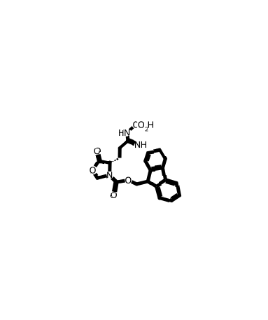 N=C(CC[C@H]1C(=O)OCN1C(=O)OCC1C2=C(CCC=C2)c2ccccc21)NC(=O)O